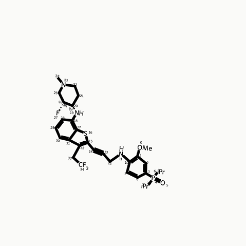 COc1cc(P(=O)(C(C)C)C(C)C)ccc1NCC#Cc1sc2c(N[C@H]3CCN(C)C[C@H]3F)cccc2c1CC(F)(F)F